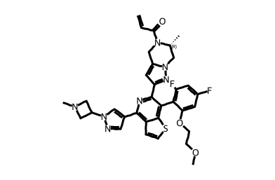 C=CC(=O)N1Cc2cc(-c3nc(-c4cnn(C5CN(C)C5)c4)c4ccsc4c3-c3c(F)cc(F)cc3OCCOC)nn2C[C@H]1C